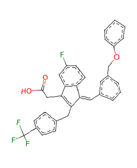 O=C(O)CC1=C(Cc2ccc(C(F)(F)F)cc2)/C(=C/c2cccc(COc3ccccc3)c2)c2ccc(F)cc21